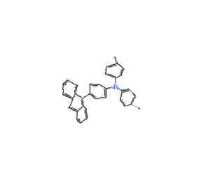 Cc1ccc(N(c2ccc(C)cc2)c2ccc(-c3c4ccccc4cc4ccccc34)cc2)cc1